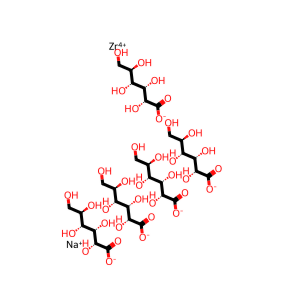 O=C([O-])[C@H](O)[C@@H](O)[C@H](O)[C@H](O)CO.O=C([O-])[C@H](O)[C@@H](O)[C@H](O)[C@H](O)CO.O=C([O-])[C@H](O)[C@@H](O)[C@H](O)[C@H](O)CO.O=C([O-])[C@H](O)[C@@H](O)[C@H](O)[C@H](O)CO.O=C([O-])[C@H](O)[C@@H](O)[C@H](O)[C@H](O)CO.[Na+].[Zr+4]